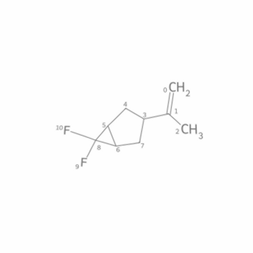 C=C(C)C1CC2C(C1)C2(F)F